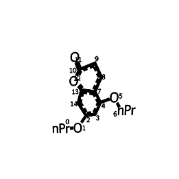 CCCOc1cc(OCCC)c2ccc(=O)oc2c1